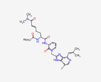 COC(=O)NC(CCC=CC(=O)N(C)C)C(=O)Nc1cccn(Cc2nc3c(C=C(C)C)ncc(F)c3[nH]2)c1=O